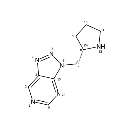 c1ncc2nnn(C[C@@H]3CCCN3)c2n1